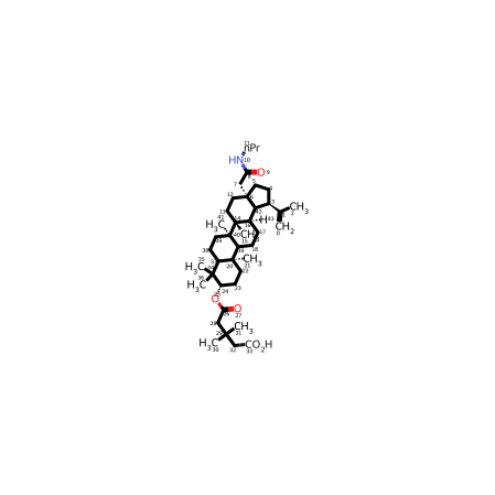 C=C(C)[C@@H]1CC[C@]2(CC(=O)NCCC)CC[C@]3(C)[C@H](CCC4[C@@]5(C)CC[C@H](OC(=O)CC(C)(C)CC(=O)O)C(C)(C)C5CC[C@]43C)C12